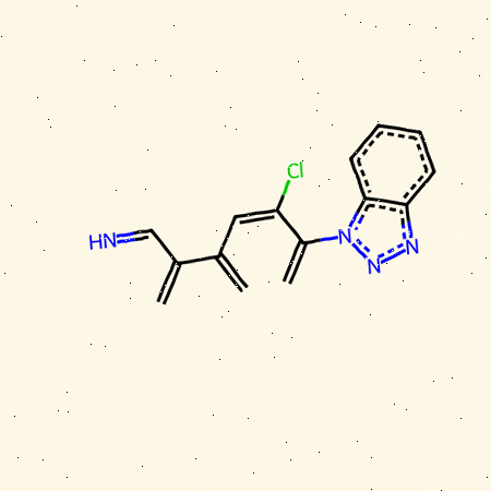 C=C(C=N)C(=C)/C=C(/Cl)C(=C)n1nnc2ccccc21